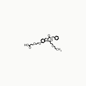 CCCOCCC(=O)N[C@@H](Cc1ccc(OCCOCCC(=O)O)cc1)C(=O)OCc1ccccc1